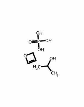 C1=COC1.CC(C)O.O=P(O)(O)O